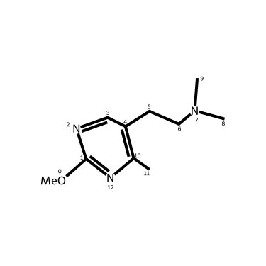 COc1ncc(CCN(C)C)c(C)n1